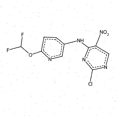 O=[N+]([O-])c1cnc(Cl)nc1Nc1ccc(OC(F)F)nc1